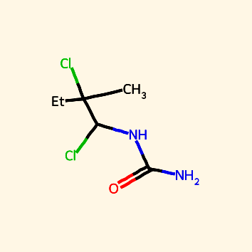 CCC(C)(Cl)C(Cl)NC(N)=O